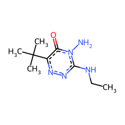 CCNc1nnc(C(C)(C)C)c(=O)n1N